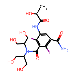 C[C@H](O)C(=O)Nc1cc(C(N)=O)c(I)c(C(=O)N(C(CO)CO)C(CO)CO)c1I